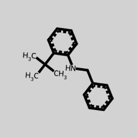 CC(C)(C)c1ccccc1NCc1ccccc1